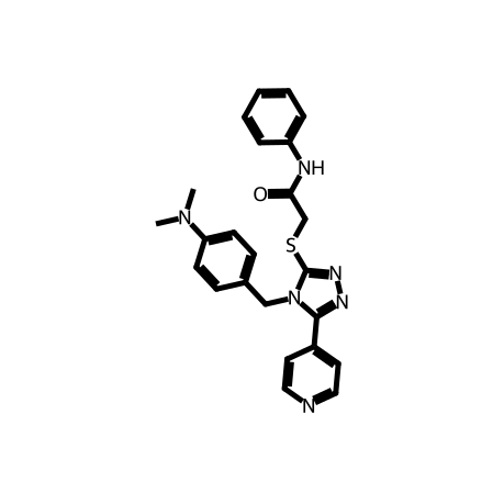 CN(C)c1ccc(Cn2c(SCC(=O)Nc3ccccc3)nnc2-c2ccncc2)cc1